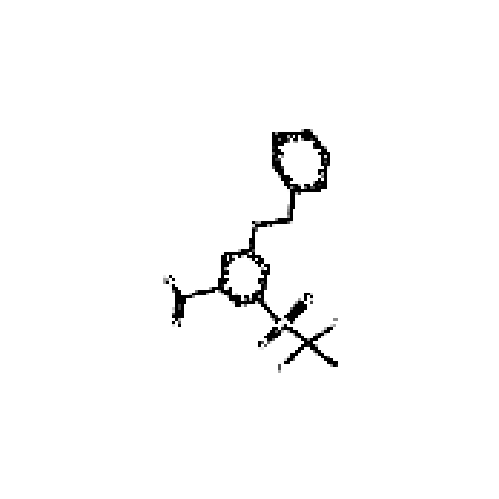 O=C(O)c1cc(SCc2ccccc2)cc(S(=O)(=O)C(F)(F)F)c1